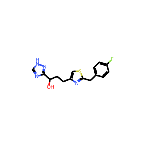 OC(CCc1csc(Cc2ccc(F)cc2)n1)c1nc[nH]n1